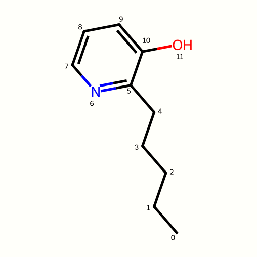 CCCCCc1ncccc1O